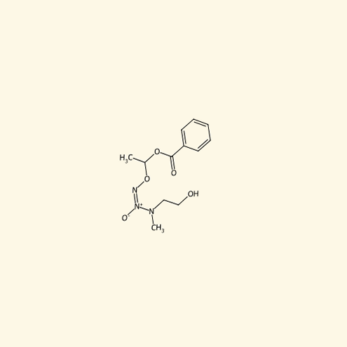 CC(O/N=[N+](/[O-])N(C)CCO)OC(=O)c1ccccc1